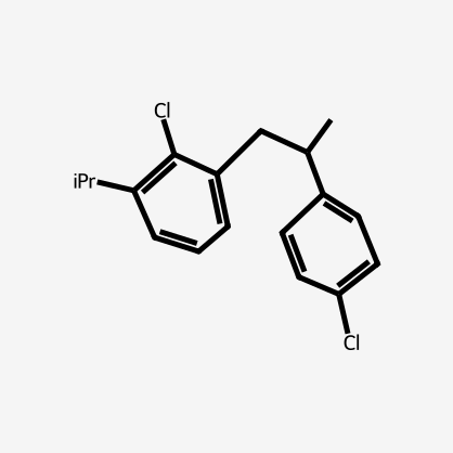 CC(C)c1cccc(CC(C)c2ccc(Cl)cc2)c1Cl